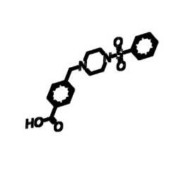 O=C(O)c1ccc(CN2CCN(S(=O)(=O)c3ccccc3)CC2)cc1